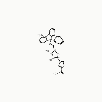 COc1ccccc1C(OC[C@H]1O[C@@H](n2cnc(C(N)=O)n2)[C@H](O)[C@@H]1O)(c1ccccc1)c1ccccc1